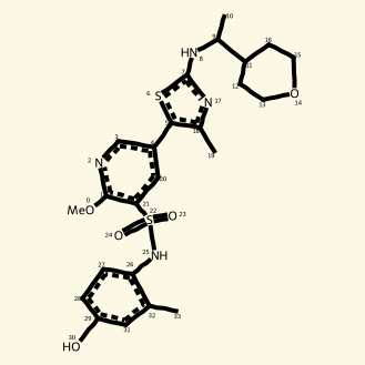 COc1ncc(-c2sc(NC(C)C3CCOCC3)nc2C)cc1S(=O)(=O)Nc1ccc(O)cc1C